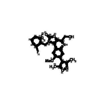 COc1cc2c(cc1-c1c(C)noc1C)nc(CO)c1oc(=O)n(Cc3c(C)cccc3F)c12